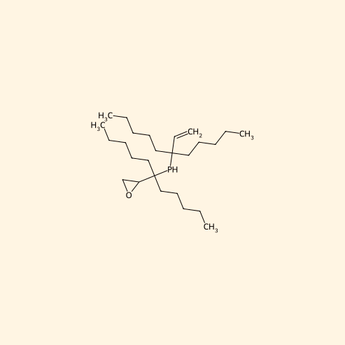 C=CC(CCCCC)(CCCCC)PC(CCCCC)(CCCCC)C1CO1